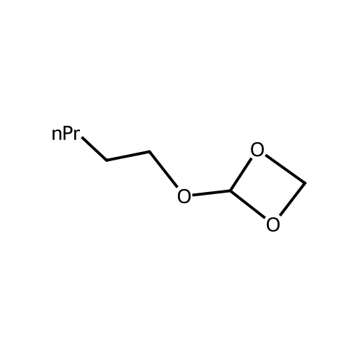 CCCCCOC1OCO1